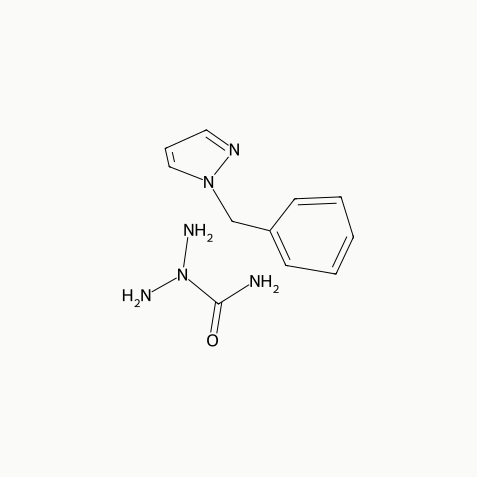 NC(=O)N(N)N.c1ccc(Cn2cccn2)cc1